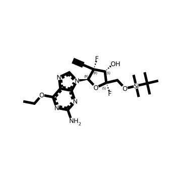 C#C[C@]1(F)[C@H](n2cnc3c(OCC)nc(N)nc32)O[C@](F)(CO[Si](C)(C)C(C)(C)C)[C@H]1O